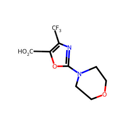 O=C(O)c1oc(N2CCOCC2)nc1C(F)(F)F